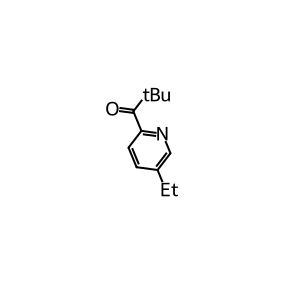 CCc1ccc(C(=O)C(C)(C)C)nc1